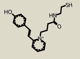 O=C(CCC[n+]1ccccc1/C=C/c1ccc(O)cc1)NCCS